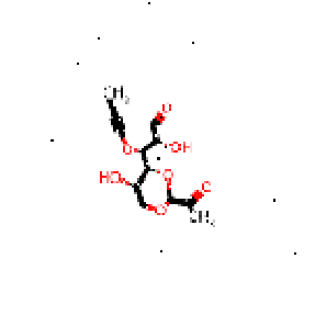 CC#CO[C@@H]([C@@H]1OC(C(C)=O)OC[C@H]1O)[C@@H](O)C=O